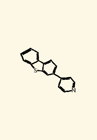 c1ccc2c(c1)sc1cc(-c3ccncc3)ccc12